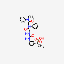 CC(c1cccc(NC(=O)NCC(=O)N(CC(=O)N(C)c2ccccc2)c2ccccc2)c1)S(=O)(=O)O